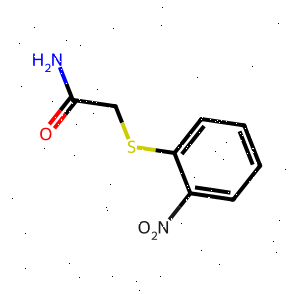 NC(=O)CSc1ccccc1[N+](=O)[O-]